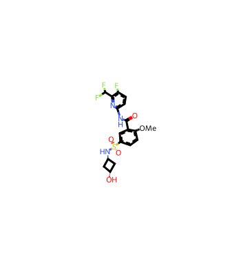 COc1ccc(S(=O)(=O)N[C@H]2C[C@@H](O)C2)cc1C(=O)Nc1ccc(F)c(C(F)F)n1